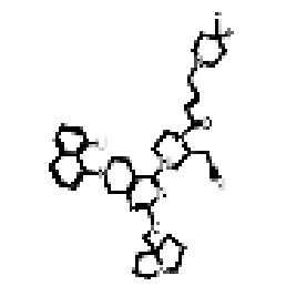 N#CC[C@H]1CN(c2nc(OCC34CCCN3CCC4)nc3c2CCN(c2cccc4cccc(Cl)c24)C3)CCN1C(=O)/C=C/CN1CCC(F)(F)CC1